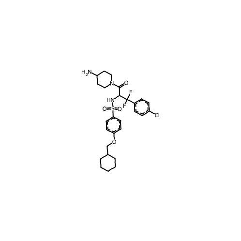 NC1CCN(C(=O)C(NS(=O)(=O)c2ccc(OCC3CCCCC3)cc2)C(F)(F)c2ccc(Cl)cc2)CC1